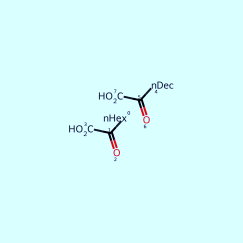 CCCCCCC(=O)C(=O)O.CCCCCCCCCCC(=O)C(=O)O